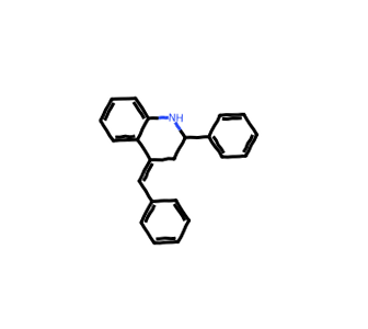 C(=C1CC(c2ccccc2)Nc2ccccc21)c1ccccc1